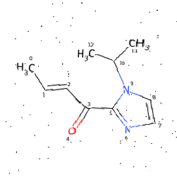 C/C=C/C(=O)c1nccn1C(C)C